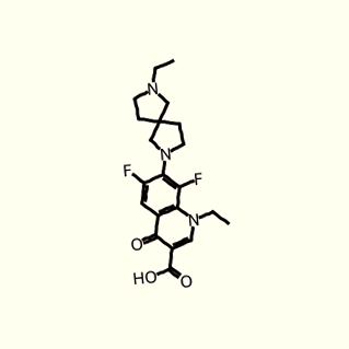 CCN1CCC2(CCN(c3c(F)cc4c(=O)c(C(=O)O)cn(CC)c4c3F)C2)C1